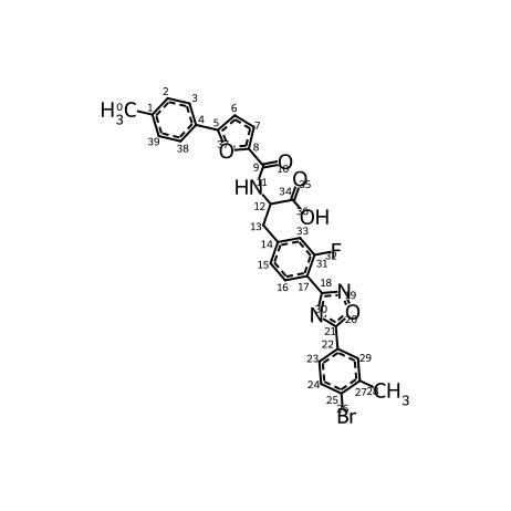 Cc1ccc(-c2ccc(C(=O)NC(Cc3ccc(-c4noc(-c5ccc(Br)c(C)c5)n4)c(F)c3)C(=O)O)o2)cc1